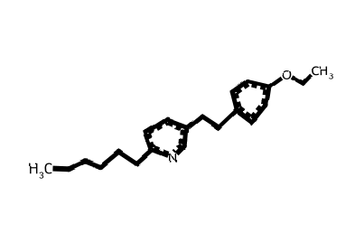 CCCCCCc1ccc(CCc2ccc(OCC)cc2)cn1